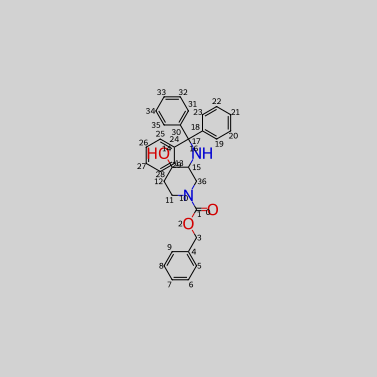 O=C(OCc1ccccc1)N1CCC(O)C(NC(c2ccccc2)(c2ccccc2)c2ccccc2)C1